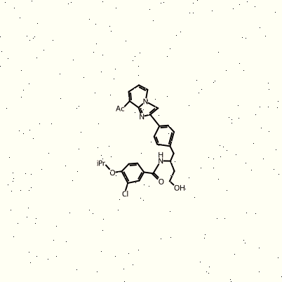 CC(=O)c1cccn2cc(-c3ccc(CC(CCO)NC(=O)c4ccc(OC(C)C)c(Cl)c4)cc3)nc12